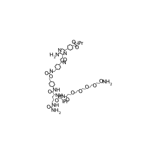 CC(C)[C@H](NC(=O)CCOCCOCCOCCOCCON)C(=O)N[C@@H](CCCNC(N)=O)C(=O)Nc1ccc(COC(=O)N(C)Cc2ccc(-c3cc(-c4nc(-c5ccc(S(=O)(=O)C(C)C)cc5)cnc4N)on3)cc2)cc1